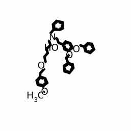 COc1ccc(CCOCCCCCCN(Cc2ccccc2)CC(O)c2ccc(OCc3ccccc3)c(OCc3ccccc3)c2)cc1